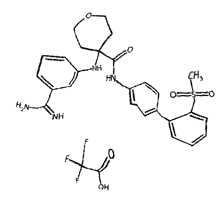 CS(=O)(=O)c1ccccc1-c1ccc(NC(=O)C2(Nc3cccc(C(=N)N)c3)CCOCC2)cc1.O=C(O)C(F)(F)F